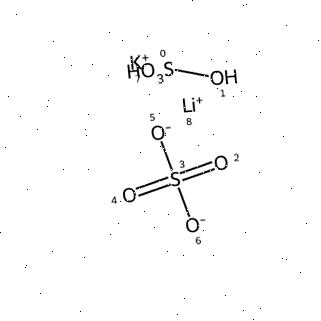 O=S(=O)(O)O.O=S(=O)([O-])[O-].[K+].[Li+]